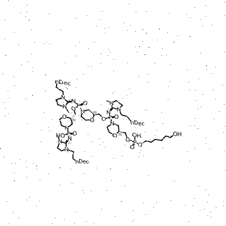 CCCCCCCCCCCCN1CCN(C)C1=NP(=O)(OC[C@@H]1CN(P(=O)(N=C2N(C)CCN2CCCCCCCCCCCC)OC[C@@H]2CN(P(=O)(O)/N=C3\N(C)CCN3CCCCCCCCCCCC)CCO2)CCO1)N1CCO[C@H](COP(=O)(O)OCCCCCCO)C1